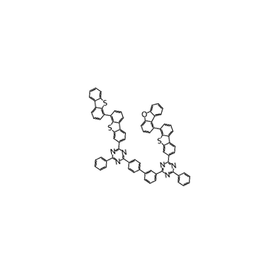 c1ccc(-c2nc(-c3ccc(-c4cccc(-c5nc(-c6ccccc6)nc(-c6ccc7c(c6)sc6c(-c8cccc9oc%10ccccc%10c89)cccc67)n5)c4)cc3)nc(-c3ccc4c(c3)sc3c(-c5cccc6c5sc5ccccc56)cccc34)n2)cc1